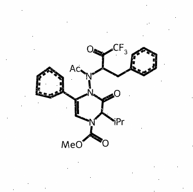 COC(=O)N1C=C(c2ccccc2)N(N(C(C)=O)C(Cc2ccccc2)C(=O)C(F)(F)F)C(=O)C1C(C)C